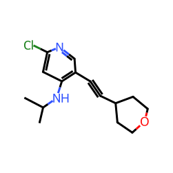 CC(C)Nc1cc(Cl)ncc1C#CC1CCOCC1